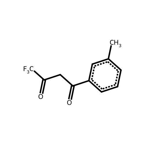 Cc1cccc(C(=O)CC(=O)C(F)(F)F)c1